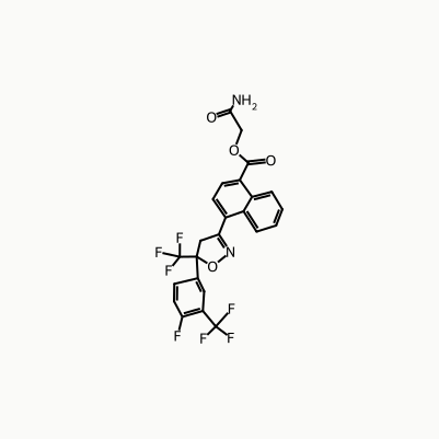 NC(=O)COC(=O)c1ccc(C2=NOC(c3ccc(F)c(C(F)(F)F)c3)(C(F)(F)F)C2)c2ccccc12